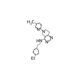 CCc1ccc(CCNc2ncnc3c2CN(c2ccc(C)cn2)CC3)cc1